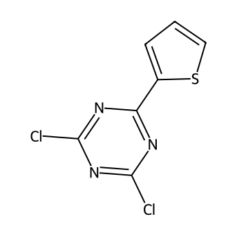 Clc1nc(Cl)nc(-c2cccs2)n1